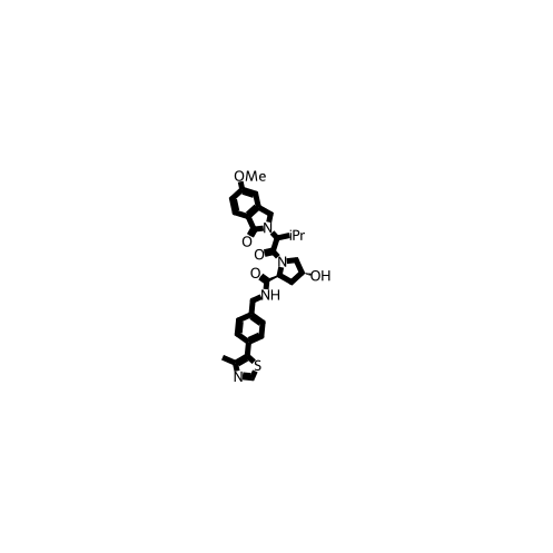 COc1ccc2c(c1)CN(C(C(=O)N1C[C@H](O)C[C@H]1C(=O)NCc1ccc(-c3scnc3C)cc1)C(C)C)C2=O